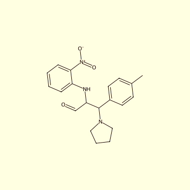 Cc1ccc(C(C(C=O)Nc2ccccc2[N+](=O)[O-])N2CCCC2)cc1